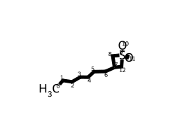 CCCCCCCC1CS(=O)(=O)C1